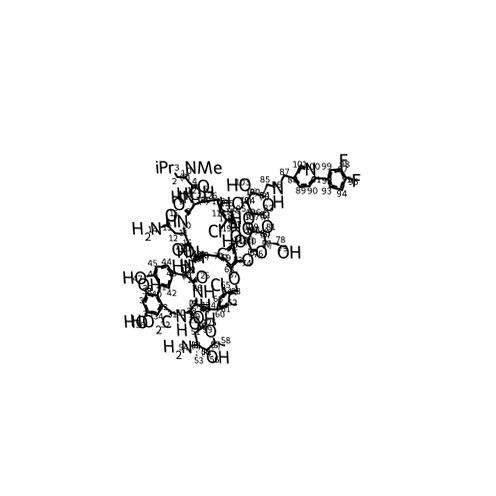 CN[C@H](CC(C)C)C(=O)NC1C(=O)NC(CC(N)=O)C(=O)N[C@H]2C(=O)N[C@H]3C(=O)N[C@H](C(=O)NC(C(=O)O)c4cc(O)cc(O)c4-c4cc3ccc4O)[C@H](O[C@H]3C[C@](C)(N)[C@@H](O)[C@H](C)O3)c3ccc(c(Cl)c3)Oc3cc2cc(c3O[C@@H]2O[C@H](CO)[C@@H](O[C@@H]3O[C@H](CNCc4ccc(-c5ccc(F)c(F)c5)nc4)[C@H](O)[C@H](O)[C@H]3O)[C@H](O)[C@H]2O)Oc2ccc(cc2Cl)[C@H]1O